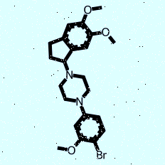 COc1cc(N2CCN(C3CCc4cc(OC)c(OC)cc43)CC2)ccc1Br